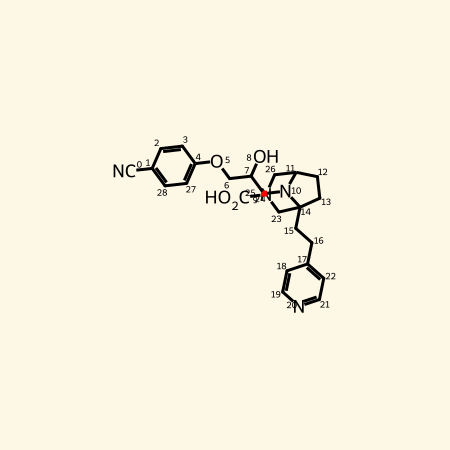 N#Cc1ccc(OCC(O)CN2C3CCC2(CCc2ccncc2)CN(C(=O)O)C3)cc1